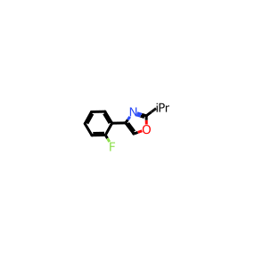 CC(C)c1nc(-c2ccccc2F)co1